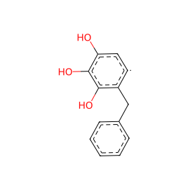 Oc1c[c]c(Cc2ccccc2)c(O)c1O